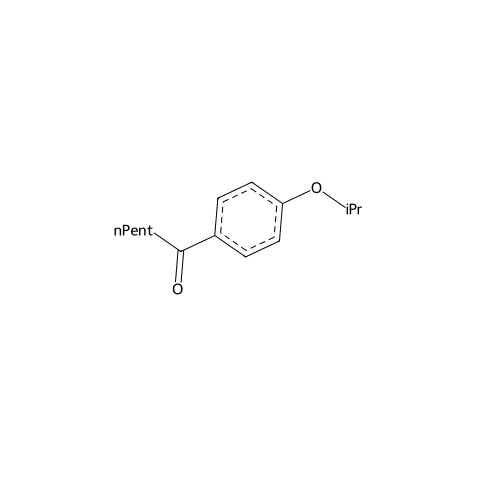 [CH2]CCCCC(=O)c1ccc(OC(C)C)cc1